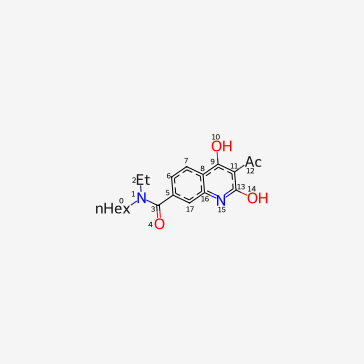 CCCCCCN(CC)C(=O)c1ccc2c(O)c(C(C)=O)c(O)nc2c1